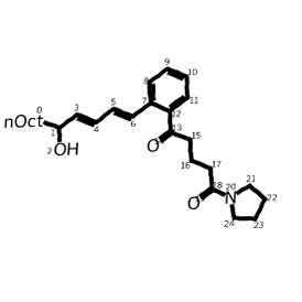 CCCCCCCCC(O)/C=C/C=C/c1ccccc1C(=O)CCCC(=O)N1CCCC1